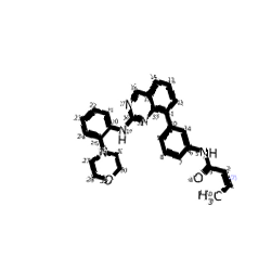 C/C=C\C(=O)Nc1cccc(-c2cccc3cnc(Nc4ccccc4N4CCOCC4)nc23)c1